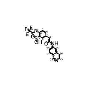 O=C(Cc1ccc2c(c1)B(O)OC(C(F)(F)F)=N2)Nc1ccc2cnccc2c1